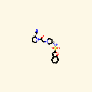 N#C[C@@H]1CCCN1C(=O)CN1CC[C@H](NS(=O)(=O)c2cc3ccccc3o2)C1